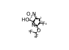 O=[N+]([O-])c1cc(F)c(OC(F)F)nc1O